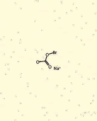 O=C([O-])OBr.[Na+]